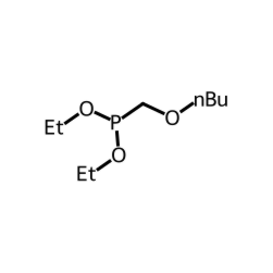 CCCCOCP(OCC)OCC